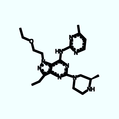 CCOCCn1nc(CC)c2nc(N3CCN[C@H](C)C3)nc(Nc3nccc(C)n3)c21